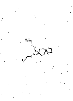 CCCOCC1(COCCC)CCC2(CC1)OCCO2